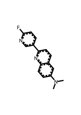 CN(C)c1ccc2nc(-c3ccc(F)nc3)ccc2c1